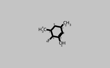 CC1C=C(O)C(F)C(C)C1